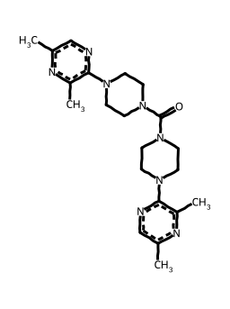 Cc1cnc(N2CCN(C(=O)N3CCN(c4ncc(C)nc4C)CC3)CC2)c(C)n1